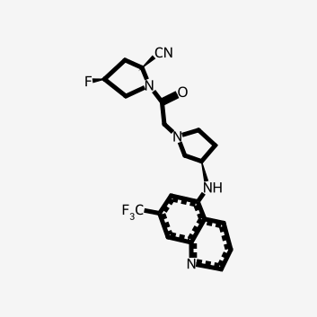 N#C[C@@H]1C[C@H](F)CN1C(=O)CN1CC[C@@H](Nc2cc(C(F)(F)F)cc3ncccc23)C1